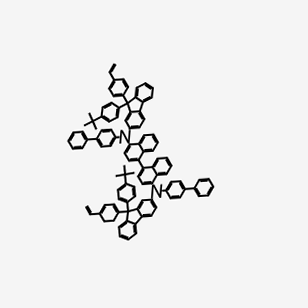 C=CC1=CC=C(C2(c3ccc(C(C)(C)C)cc3)c3ccccc3-c3ccc(N(c4ccc(-c5ccccc5)cc4)c4ccc(-c5ccc(N(c6ccc(-c7ccccc7)cc6)c6ccc7c(c6)C(c6ccc(C=C)cc6)(c6ccc(C(C)(C)C)cc6)c6ccccc6-7)c6ccccc56)c5ccccc45)cc32)CC1